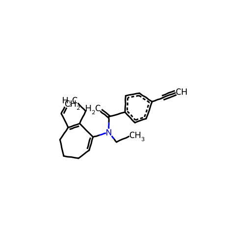 C#Cc1ccc(C(=C)N(CC)C2=CCCCC(C=C)=C2CC)cc1